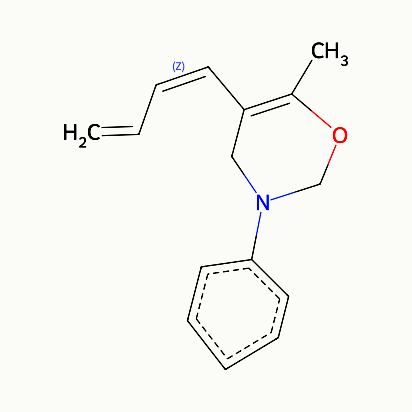 C=C/C=C\C1=C(C)OCN(c2ccccc2)C1